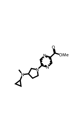 COC(=O)c1cnc(N2CCC(N(C)C3CC3)C2)cn1